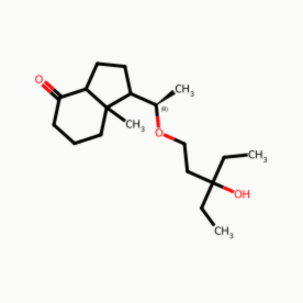 CCC(O)(CC)CCO[C@H](C)C1CCC2C(=O)CCCC21C